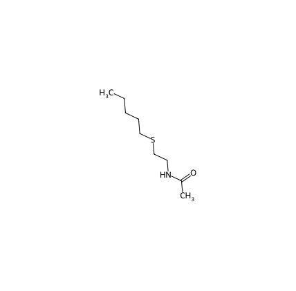 CCCCCSCCNC(C)=O